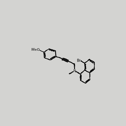 COc1ccc(C#CCN(C)c2cccc3cccc(Br)c23)cc1